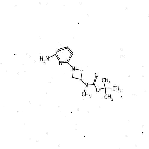 CN(C(=O)OC(C)(C)C)C1CN(c2cccc(N)n2)C1